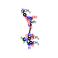 Cc1ncsc1-c1ccc(ONC(=O)[C@@H]2C[C@@H](O)CN2C(=O)C(c2cc(OCCCCCNC(=O)c3cc4c(cc3CS(C)(=O)=O)-c3cn(C)c(=O)c5[nH]cc(c35)CN4c3ncc(F)cc3F)no2)C(C)C)cc1